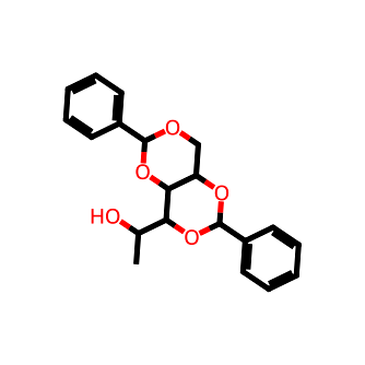 CC(O)C1OC(c2ccccc2)OC2COC(c3ccccc3)OC21